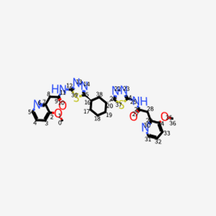 COc1cccnc1CC(=O)Nc1nnc([C@@H]2CCC[C@@H](c3nnc(NC(=O)Cc4ncccc4OC)s3)C2)s1